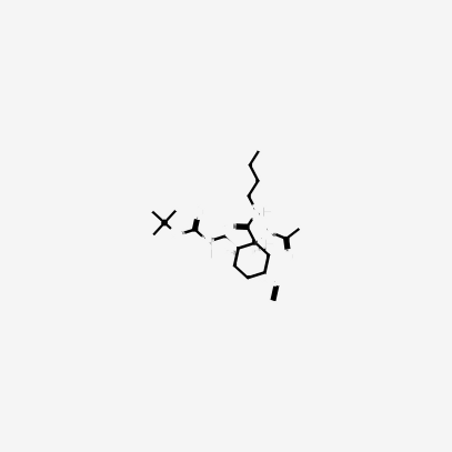 C=C[C@@H]1CC[C@@H](CNC(=O)OC(C)(C)C)[C@@](NC(C)=O)(C(=O)NCCCC)C1